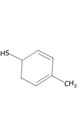 CC1=CCC(S)C=C1